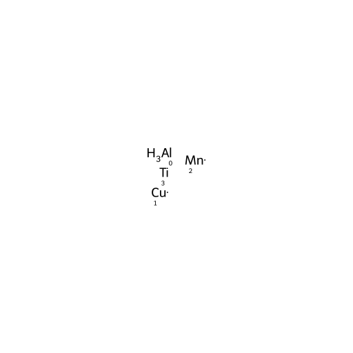 [AlH3].[Cu].[Mn].[Ti]